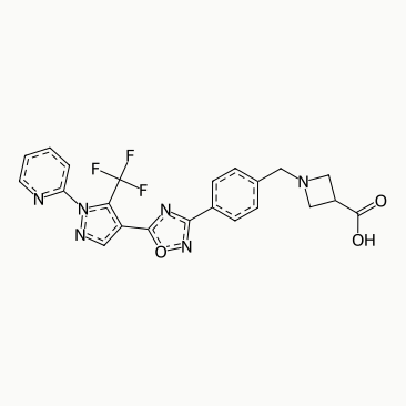 O=C(O)C1CN(Cc2ccc(-c3noc(-c4cnn(-c5ccccn5)c4C(F)(F)F)n3)cc2)C1